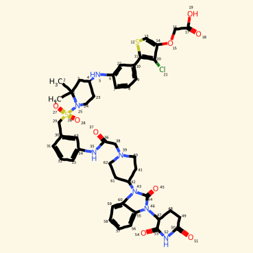 CC1(C)C[C@@H](Nc2cccc(-c3scc(OCC(=O)O)c3Cl)c2)CCN1S(=O)(=O)Cc1cccc(NC(=O)CN2CCC(n3c(=O)n(C4CCC(=O)NC4=O)c4ccccc43)CC2)c1